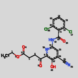 CCOC(=O)CCC(=O)c1nc(NC(=O)c2c(Cl)cccc2Cl)cc(C#N)c1O